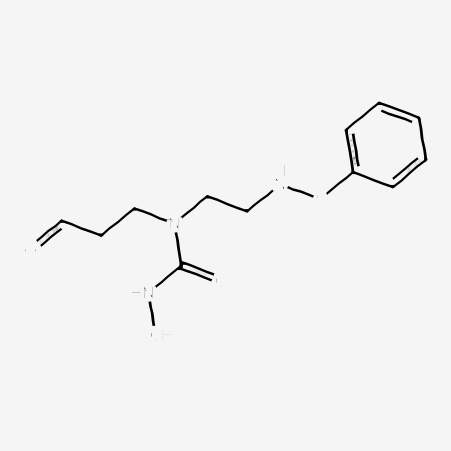 CNC(=O)N(CCC=O)CCNSc1ccccc1